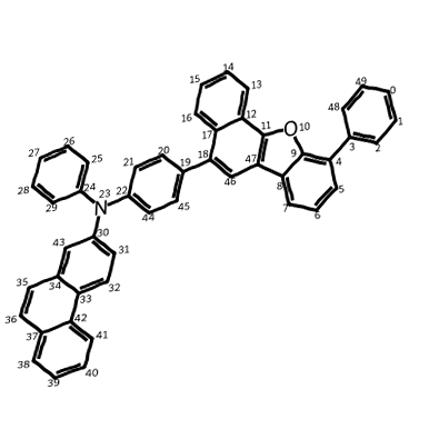 c1ccc(-c2cccc3c2oc2c4ccccc4c(-c4ccc(N(c5ccccc5)c5ccc6c(ccc7ccccc76)c5)cc4)cc32)cc1